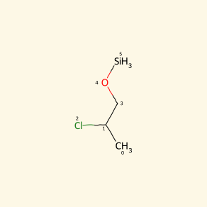 CC(Cl)CO[SiH3]